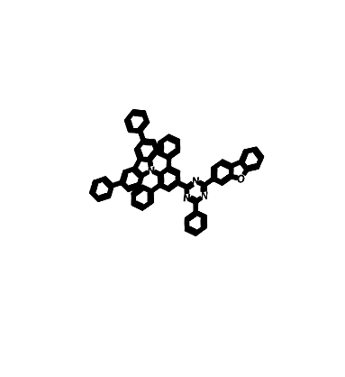 c1ccc(-c2ccc3c(c2)c2cc(-c4ccccc4)ccc2n3-c2c(-c3ccccc3)cc(-c3nc(-c4ccccc4)nc(-c4ccc5c(c4)oc4ccccc45)n3)cc2-c2ccccc2)cc1